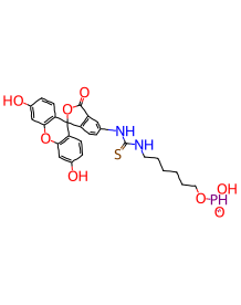 O=C1OC2(c3ccc(O)cc3Oc3cc(O)ccc32)c2ccc(NC(=S)NCCCCCCO[PH](=O)O)cc21